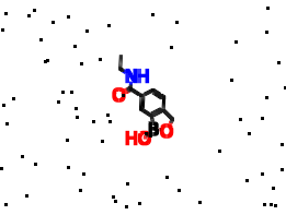 CCNC(=O)c1ccc2c(c1)B(O)OC2